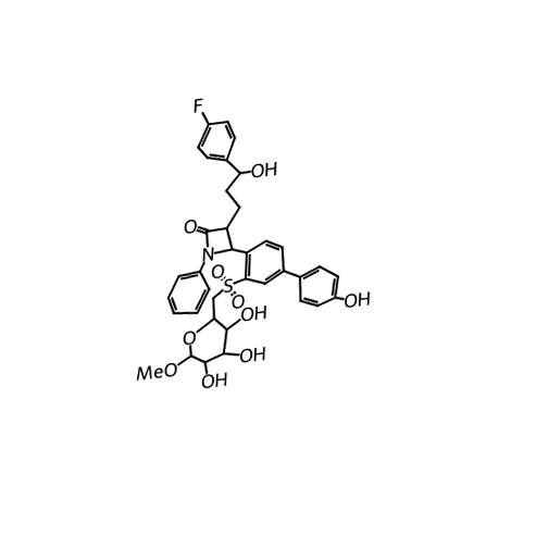 COC1OC(CS(=O)(=O)c2cc(-c3ccc(O)cc3)ccc2C2C(CCC(O)c3ccc(F)cc3)C(=O)N2c2ccccc2)C(O)C(O)C1O